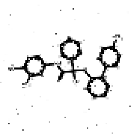 N#Cc1ccc(NC(=O)C(O)(Cc2ccccc2-c2ccc(C(F)(F)F)cc2)c2ccccc2)cc1Cl